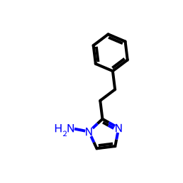 Nn1ccnc1CCc1ccccc1